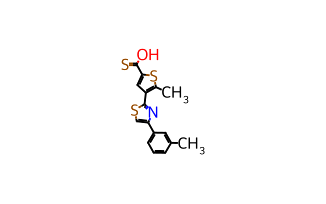 Cc1cccc(-c2csc(-c3cc(C(O)=S)sc3C)n2)c1